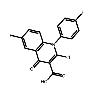 O=C(O)c1c(Cl)n(-c2ccc(F)cc2)c2ccc(F)cc2c1=O